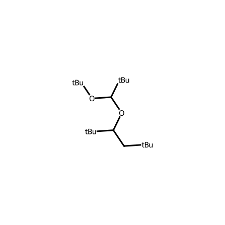 CC(C)(C)CC(OC(OC(C)(C)C)C(C)(C)C)C(C)(C)C